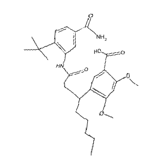 CCCCCC(CC(=O)Nc1cc(C(N)=O)ccc1C(C)(C)C)c1cc(C(=O)O)c(OC)cc1OC